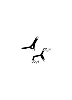 CC1OC1=O.O=C(O)CC(=O)C(=O)O